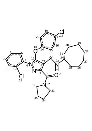 O=C(c1nn(-c2ccccc2Cl)c(Oc2ccc(Cl)cc2)c1CNC1CCCCCCC1)N1CCCC1